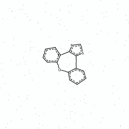 c1ccc2c(c1)Oc1ccccc1-c1scnc1-2